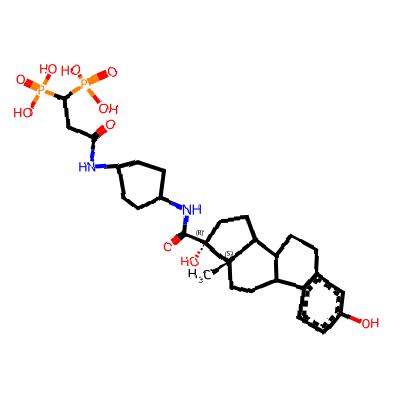 C[C@]12CCC3c4ccc(O)cc4CCC3C1CC[C@]2(O)C(=O)NC1CCC(NC(=O)CC(P(=O)(O)O)P(=O)(O)O)CC1